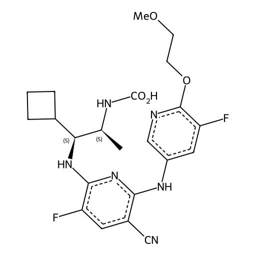 COCCOc1ncc(Nc2nc(N[C@@H](C3CCC3)[C@H](C)NC(=O)O)c(F)cc2C#N)cc1F